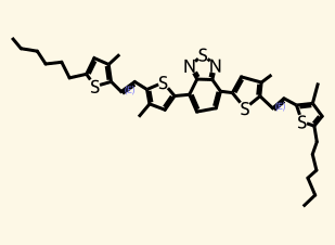 CCCCCCc1cc(C)c(/C=C/c2sc(-c3ccc(-c4cc(C)c(/C=C/c5sc(CCCCCC)cc5C)s4)c4nsnc34)cc2C)s1